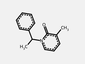 Cc1cccn(C(C)c2ccccc2)c1=O